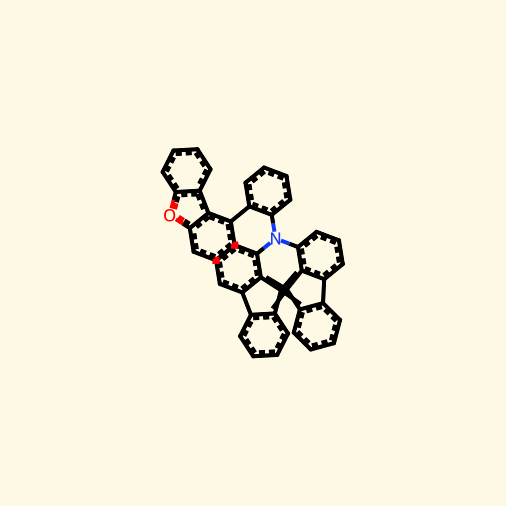 CC1(C)c2ccccc2-c2cccc(N(c3ccccc3-c3cccc4oc5ccccc5c34)c3cccc4c3C(C)(C)c3ccccc3-4)c21